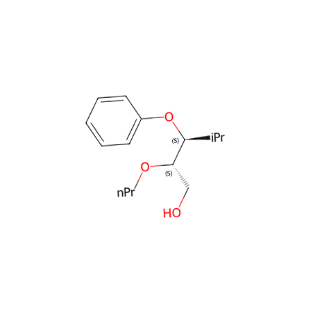 CCCO[C@@H](CO)[C@@H](Oc1ccccc1)C(C)C